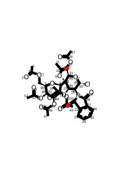 CC(=O)OC[C@H]1O[C@@H]([C@]2(OC(C)=O)[C@H](OC(C)=O)[C@H](N3C(=O)c4ccccc4C3=O)[C@@H](Cl)O[C@@H]2COC(C)=O)[C@H](OC(C)=O)[C@@H](OC(C)=O)[C@H]1OC(C)=O